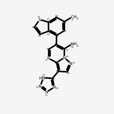 Cc1cc(-c2cnc3c(-c4nnn[nH]4)cnn3c2N)c2ccsc2c1